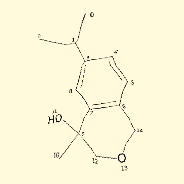 CC(C)c1ccc2c(c1)C(C)(O)COC2